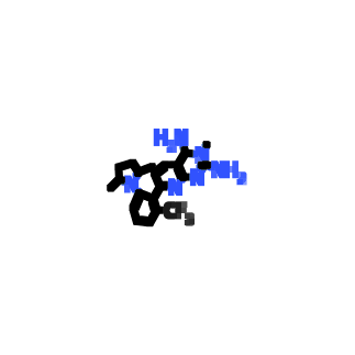 CC1CCC(C)N1c1cccc(C(F)(F)F)c1-c1ccc2c(n1)N=C(N)N(C)C2N